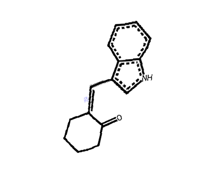 O=C1CCCC/C1=C/c1c[nH]c2ccccc12